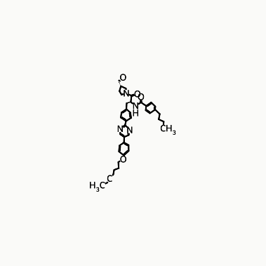 CCCCCCCOc1ccc(-c2cnc(-c3ccc(C[C@H](NC(=O)c4ccc(CCCC)cc4)C(=O)N4CC[C@H](C=O)C4)cc3)nc2)cc1